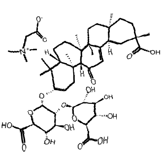 CC1(C)[C@@H](O[C@H]2O[C@H](C(=O)O)[C@@H](O)[C@H](O)[C@H]2O[C@@H]2O[C@H](C(=O)O)[C@@H](O)[C@H](O)[C@H]2O)CC[C@]2(C)[C@H]3C(=O)C=C4[C@@H]5C[C@@](C)(C(=O)O)CC[C@]5(C)CC[C@@]4(C)[C@]3(C)CC[C@@H]12.C[N+](C)(C)CC(=O)[O-]